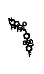 Cc1cc(F)ccc1S(=O)(=O)c1ccc(CNC(=O)C2Cc3cnccc3N2)cc1